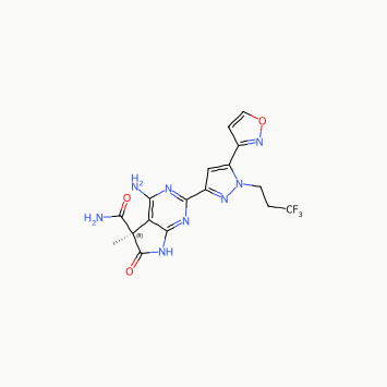 C[C@@]1(C(N)=O)C(=O)Nc2nc(-c3cc(-c4ccon4)n(CCC(F)(F)F)n3)nc(N)c21